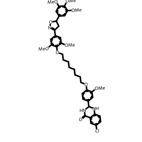 COc1cc(C2NC(=O)c3cc(Cl)ccc3N2)ccc1OCCCCCCCCOc1c(OC)cc(C2=NOC(c3cc(OC)c(OC)c(OC)c3)C2)cc1OC